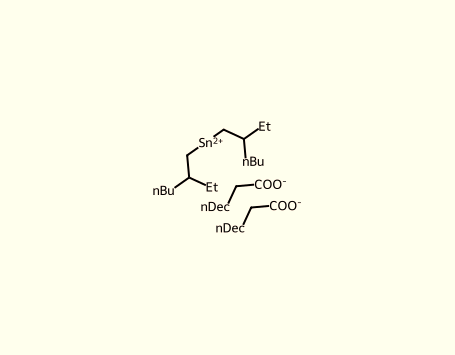 CCCCC(CC)[CH2][Sn+2][CH2]C(CC)CCCC.CCCCCCCCCCCC(=O)[O-].CCCCCCCCCCCC(=O)[O-]